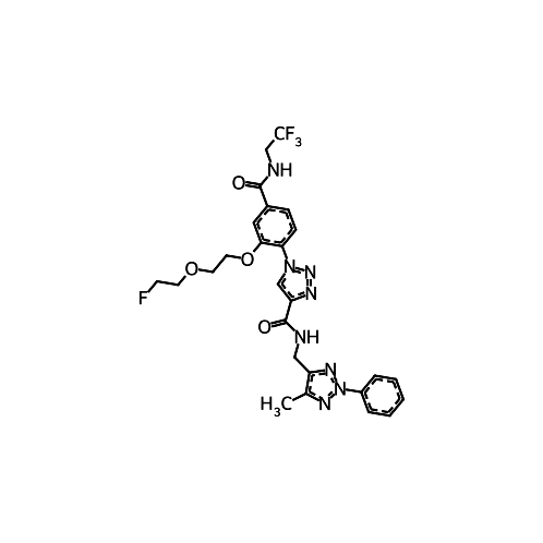 Cc1nn(-c2ccccc2)nc1CNC(=O)c1cn(-c2ccc(C(=O)NCC(F)(F)F)cc2OCCOCCF)nn1